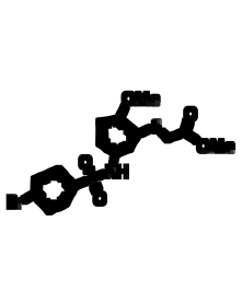 COC(=O)CSc1cc(NS(=O)(=O)c2ccc(Br)cc2)ccc1OC